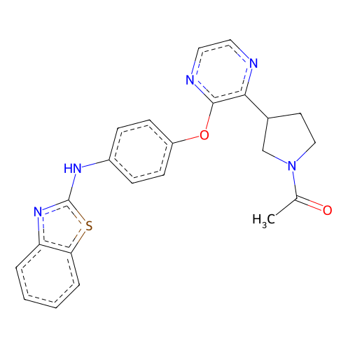 CC(=O)N1CCC(c2nccnc2Oc2ccc(Nc3nc4ccccc4s3)cc2)C1